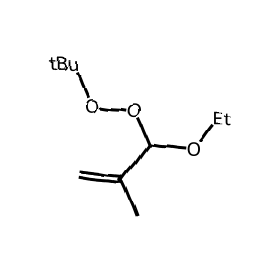 C=C(C)C(OCC)OOC(C)(C)C